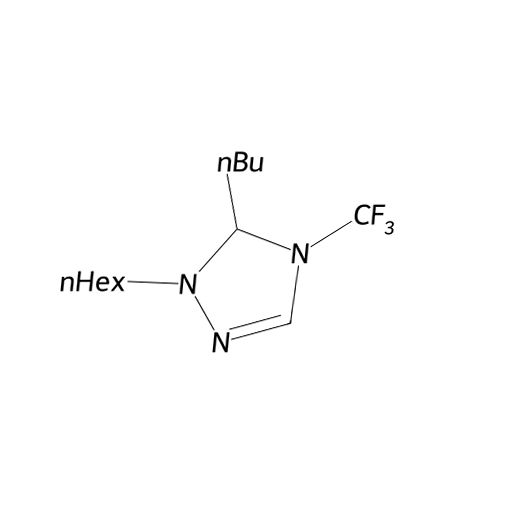 CCCCCCN1N=CN(C(F)(F)F)C1CCCC